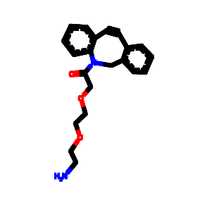 NCCOCCOCC(=O)N1Cc2ccccc2C#Cc2ccccc21